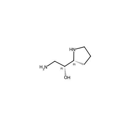 NC[C@@H](O)[C@H]1CCCN1